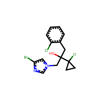 OC(Cc1ccccc1Cl)(Cn1cnc(Br)c1)C1(Cl)CC1